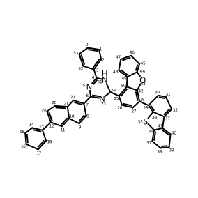 c1ccc(C2=NC(c3ccc4cc(-c5ccccc5)ccc4c3)=NC(c3ccc(-c4cccc5c4sc4ccccc45)c4oc5ccccc5c34)N2)cc1